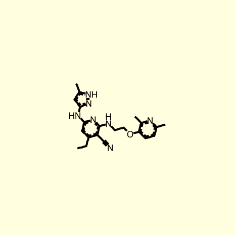 CCc1cc(Nc2cc(C)[nH]n2)nc(NCCOc2ccc(C)nc2C)c1C#N